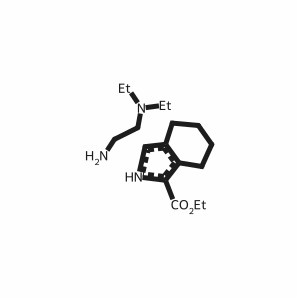 CCN(CC)CCN.CCOC(=O)c1[nH]cc2c1CCCC2